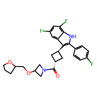 O=C([C@H]1C[C@H](c2c(-c3ccc(F)cc3)[nH]c3c(F)cc(F)cc32)C1)N1CC(OCC2CCCO2)C1